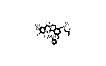 CNc1nccn1Cc1cc(CN(C)CC(F)F)c2c(c1)C(=O)N([C@@H](C)c1cc(OC)c(F)cn1)CC2